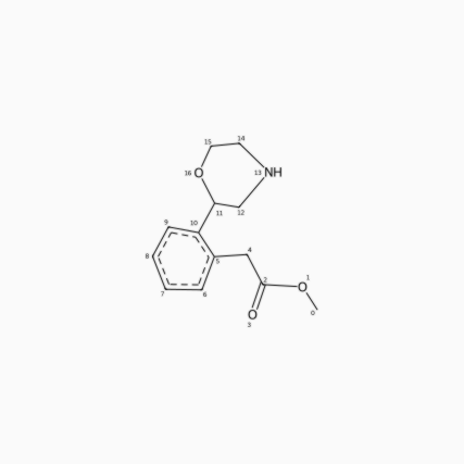 COC(=O)Cc1ccccc1C1CNCCO1